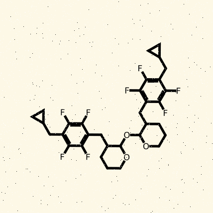 Fc1c(F)c(CC2CCCOC2OC2OCCCC2Cc2c(F)c(F)c(CC3CC3)c(F)c2F)c(F)c(F)c1CC1CC1